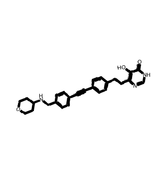 O=c1[nH]cnc(CCc2ccc(C#Cc3ccc(CNC4CCOCC4)cc3)cc2)c1O